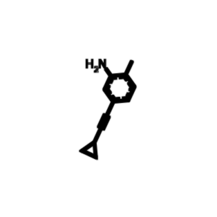 Cc1ccc(C#CC2CC2)cc1N